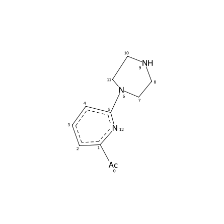 CC(=O)c1cccc(N2CCNCC2)n1